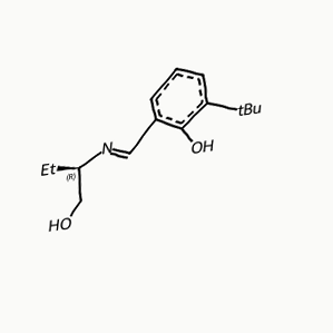 CC[C@H](CO)N=Cc1cccc(C(C)(C)C)c1O